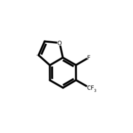 Fc1c(C(F)(F)F)ccc2[c]coc12